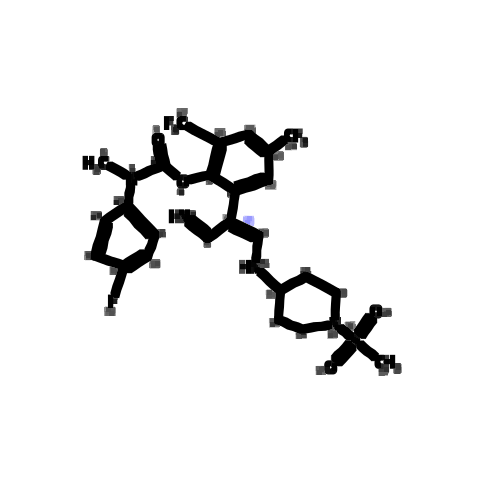 CN(C(=O)Oc1c(/C(C=N)=C/NC2CCN(S(C)(=O)=O)CC2)cc(C(F)(F)F)cc1C(F)(F)F)c1ccc(F)cc1